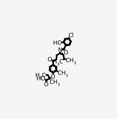 CCC(C)(Oc1ccc(C(=O)CCc2nc(-c3ccc(Cl)cc3O)oc2C(C)C)cc1C)C(=O)O